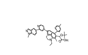 CCN1CCn2c(-c3ccnc(-c4ccc5c(cnn5C)c4)c3)cc3c(-c4ccc(C)cc4)c(C(OC(C)(C)C)C(=O)O)c(C)c1c32